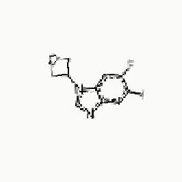 Fc1cc2c(cc1I)ncn2C1COC1